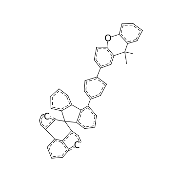 CC1(C)c2ccccc2Oc2ccc(-c3ccc(-c4cccc5c4-c4ccccc4C54c5ccccc5-c5cccc6cccc4c56)cc3)cc21